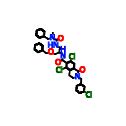 CN(Cc1ccccc1)C(=O)NCC(COCc1ccccc1)NC(=O)c1c(Cl)cc2c(c1Cl)CCN(Cc1cccc(Cl)c1)C2=O